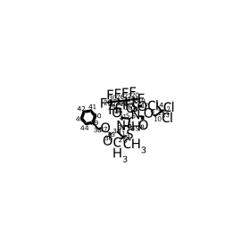 CC1(C)S[C@@H]2[C@H](N(C(=O)OCC(Cl)(Cl)Cl)S(=O)(=O)C(F)(F)C(F)(F)C(F)(F)C(F)(F)F)C(=O)N2[C@H]1C(=O)OCc1ccccc1